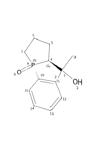 CC(C)(O)[C@@H]1CCC[P@@]1(=O)c1ccccc1